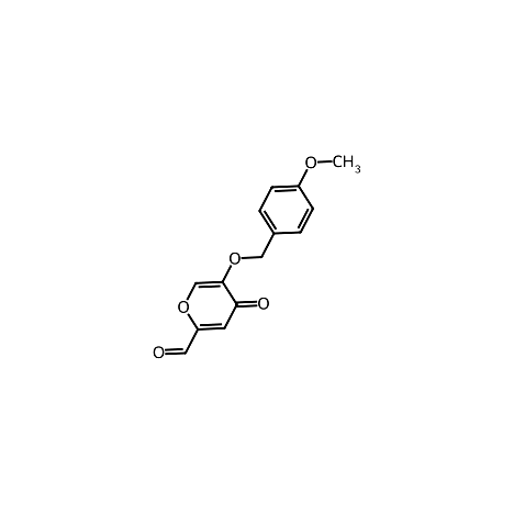 COc1ccc(COc2coc(C=O)cc2=O)cc1